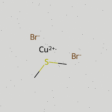 CSC.[Br-].[Br-].[Cu+2]